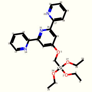 CCO[Si](COc1cc(-c2ccccn2)nc(-c2ccccn2)c1)(OCC)OCC